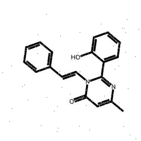 Cc1cc(=O)n(C=Cc2ccccc2)c(-c2ccccc2O)n1